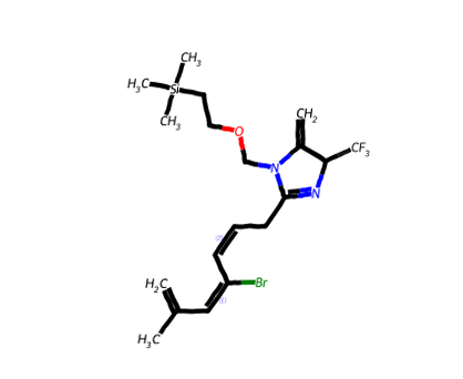 C=C(C)/C=C(Br)\C=C/CC1=NC(C(F)(F)F)C(=C)N1COCC[Si](C)(C)C